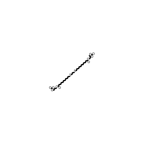 O=C(CCCCCCCCCCSCCCSCCCCCCCCCCC(=O)OCC1COC(=O)O1)OCC1COC(=O)O1